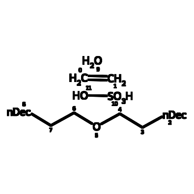 C=C.CCCCCCCCCCCCOCCCCCCCCCCCC.O.O=S(=O)(O)O